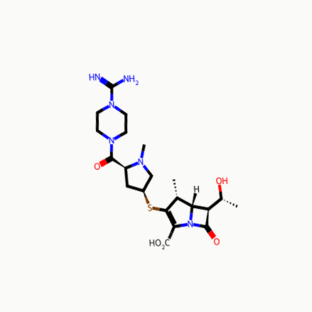 C[C@@H](O)[C@H]1C(=O)N2C(C(=O)O)=C(S[C@H]3C[C@@H](C(=O)N4CCN(C(=N)N)CC4)N(C)C3)[C@H](C)[C@H]12